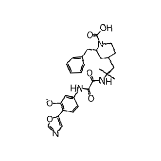 COc1cc(NC(=O)C(=O)NC(C)(C)CC2CCN(C(=O)O)C(Cc3ccccc3)C2)ccc1-c1cnco1